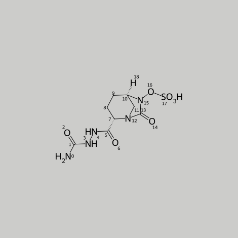 NC(=O)NNC(=O)[C@@H]1CC[C@@H]2CN1C(=O)N2OS(=O)(=O)O